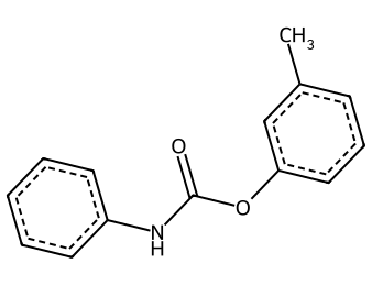 Cc1cccc(OC(=O)Nc2ccccc2)c1